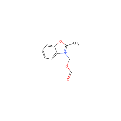 Cc1oc2ccccc2[n+]1COC=O